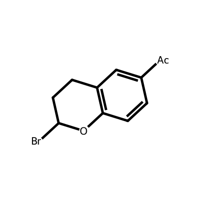 CC(=O)c1ccc2c(c1)CCC(Br)O2